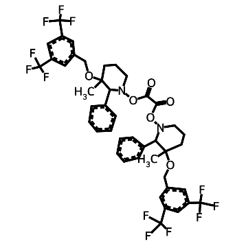 CC1(OCc2cc(C(F)(F)F)cc(C(F)(F)F)c2)CCCN(OC(=O)C(=O)ON2CCCC(C)(OCc3cc(C(F)(F)F)cc(C(F)(F)F)c3)C2c2ccccc2)C1c1ccccc1